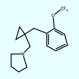 FC(F)(F)Oc1c[c]ccc1CC1(CN2CCCC2)CC1